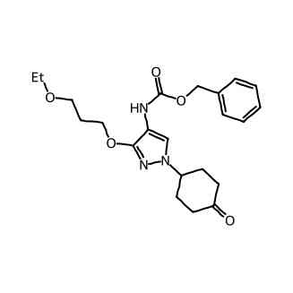 CCOCCCOc1nn(C2CCC(=O)CC2)cc1NC(=O)OCc1ccccc1